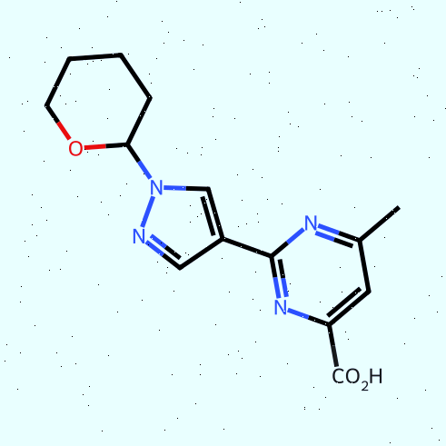 Cc1cc(C(=O)O)nc(-c2cnn(C3CCCCO3)c2)n1